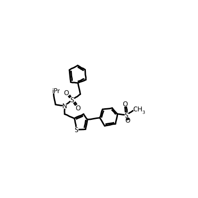 CC(C)CN(Cc1cc(-c2ccc(S(C)(=O)=O)cc2)cs1)S(=O)(=O)Cc1ccccc1